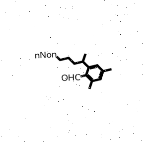 CCCCCCCCCCCCC(C)c1cc(C)cc(C)c1C=O